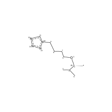 CC(C)[C@@H](C)OCCCCn1cnnn1